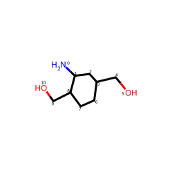 NC1CC(CO)CCC1CO